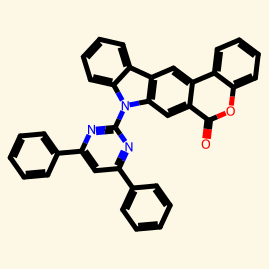 O=c1oc2ccccc2c2cc3c4ccccc4n(-c4nc(-c5ccccc5)cc(-c5ccccc5)n4)c3cc12